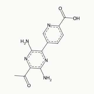 CC(=O)c1nc(N)c(-c2ccc(C(=O)O)nc2)nc1N